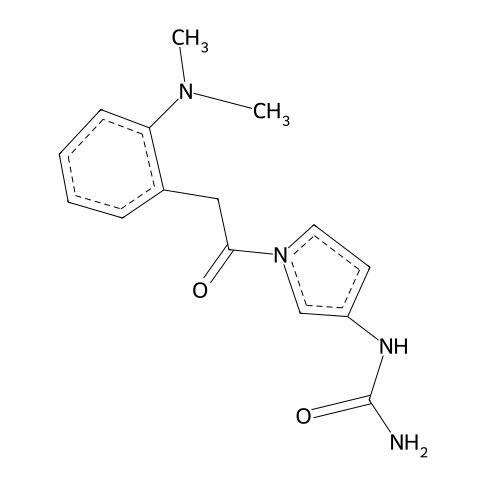 CN(C)c1ccccc1CC(=O)n1ccc(NC(N)=O)c1